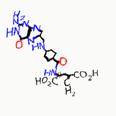 C=C(C[C@H](NC(=O)C1C=CC(NCc2cnc3nc(N)[nH]c(=O)c3n2)CC1)C(=O)O)C(=O)O